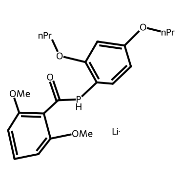 CCCOc1ccc(PC(=O)c2c(OC)cccc2OC)c(OCCC)c1.[Li]